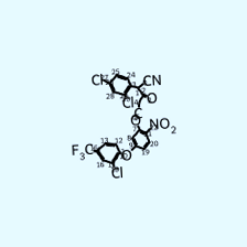 N#CC(C(=O)CCOc1cc(Oc2ccc(C(F)(F)F)cc2Cl)ccc1[N+](=O)[O-])c1ccc(Cl)cc1Cl